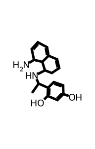 CC(NC1CC=CC2=CC=CC(N)C21)c1ccc(O)cc1O